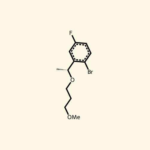 COCCCO[C@H](C)c1cc(F)ccc1Br